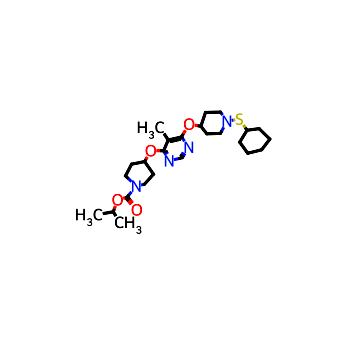 Cc1c(OC2CCN(SC3CCCCC3)CC2)ncnc1OC1CCN(C(=O)OC(C)C)CC1